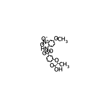 COc1ccc(NS(=O)(=O)c2cccc(OC(C)C(=O)O)c2)c([N+](=O)[O-])c1